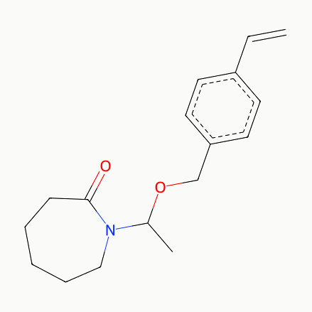 C=Cc1ccc(COC(C)N2CCCCCC2=O)cc1